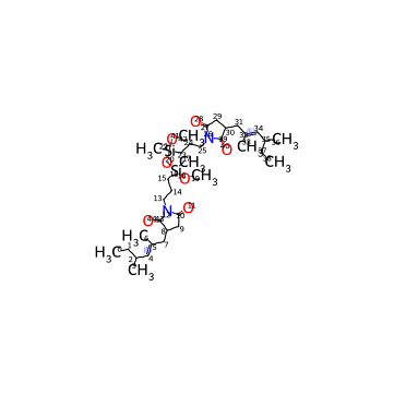 CCC(C)/C=C(\C)CC1CC(=O)N(CCC[Si](C)(OC)O[Si](C)(CCCN2C(=O)CC(C/C(C)=C/C(C)CC)C2=O)OC)C1=O